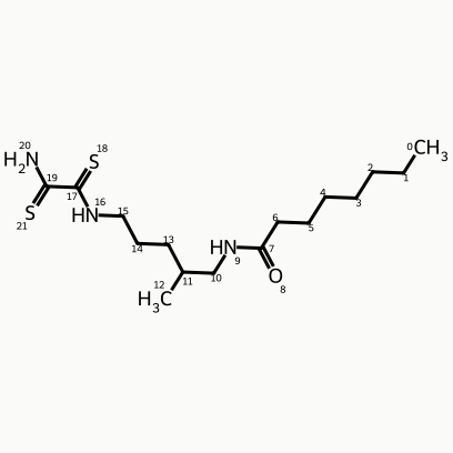 CCCCCCCC(=O)NCC(C)CCCNC(=S)C(N)=S